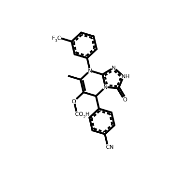 CC1=C(OC(=O)O)C(c2ccc(C#N)cc2)n2c(n[nH]c2=O)N1c1cccc(C(F)(F)F)c1